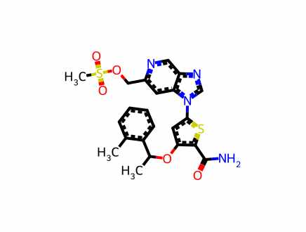 Cc1ccccc1C(C)Oc1cc(-n2cnc3cnc(COS(C)(=O)=O)cc32)sc1C(N)=O